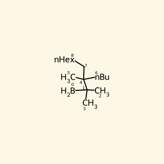 BC(C)(C)C(C)(CCCC)CCCCCCC